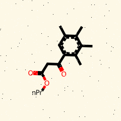 CCCOC(=O)CC(=O)c1cc(C)c(C)c(C)c1C